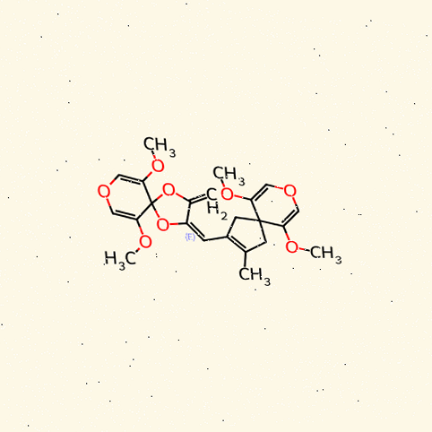 C=C1OC2(O/C1=C/C1=C(C)CC3(C1)C(OC)=COC=C3OC)C(OC)=COC=C2OC